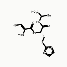 CCC(C)C(NC(=O)[C@H](CSc1nccs1)NC(=O)/C(=C/S)NC)C(=O)O